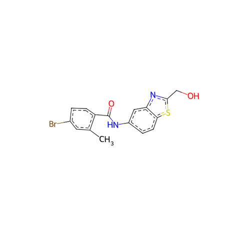 Cc1cc(Br)ccc1C(=O)Nc1ccc2sc(CO)nc2c1